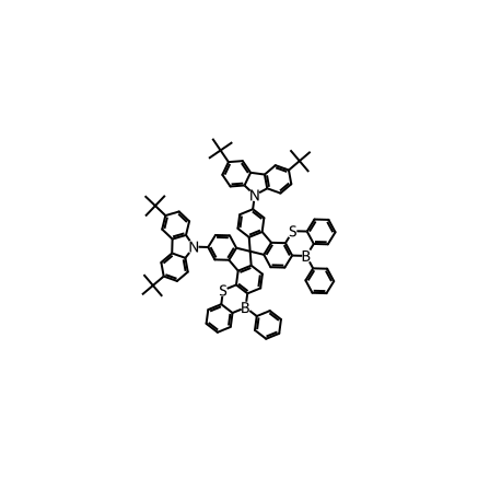 CC(C)(C)c1ccc2c(c1)c1cc(C(C)(C)C)ccc1n2-c1ccc2c(c1)-c1c(ccc3c1Sc1ccccc1B3c1ccccc1)C21c2ccc(-n3c4ccc(C(C)(C)C)cc4c4cc(C(C)(C)C)ccc43)cc2-c2c1ccc1c2Sc2ccccc2B1c1ccccc1